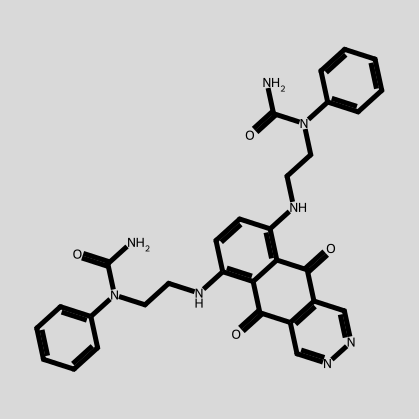 NC(=O)N(CCNc1ccc(NCCN(C(N)=O)c2ccccc2)c2c1C(=O)c1cnncc1C2=O)c1ccccc1